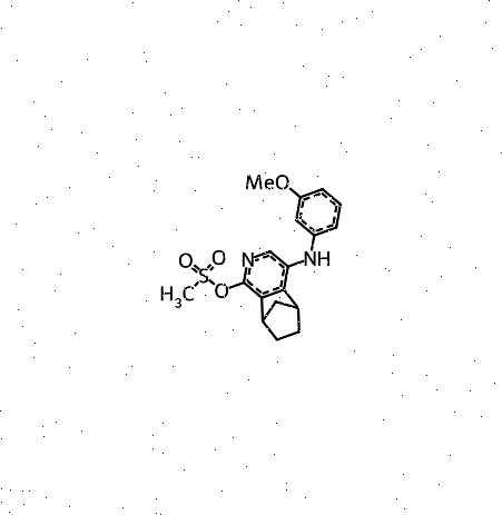 COc1cccc(Nc2cnc(OS(C)(=O)=O)c3c2C2CCC3C2)c1